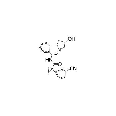 N#Cc1cccc(C2(C(=O)N[C@H](CN3CC[C@H](O)C3)c3ccccc3)CC2)c1